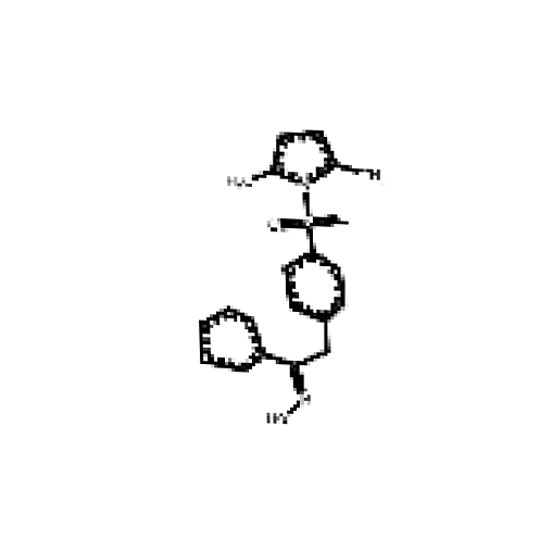 Cc1ccc(C)n1S(=O)(=O)c1ccc(C/C(=N/O)c2ccccc2)cc1